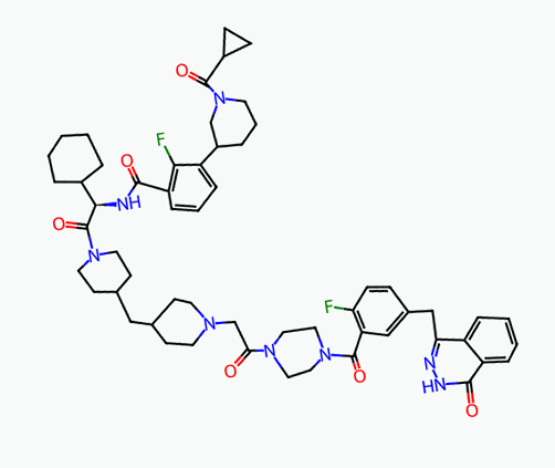 O=C(N[C@@H](C(=O)N1CCC(CC2CCN(CC(=O)N3CCN(C(=O)c4cc(Cc5n[nH]c(=O)c6ccccc56)ccc4F)CC3)CC2)CC1)C1CCCCC1)c1cccc(C2CCCN(C(=O)C3CC3)C2)c1F